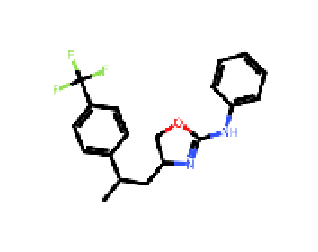 CC(CC1COC(Nc2ccccc2)=N1)c1ccc(C(F)(F)F)cc1